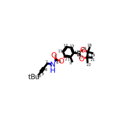 Cc1c(OC(=O)NCC#CC(C)(C)C)cccc1B1OC(C)(C)C(C)(C)O1